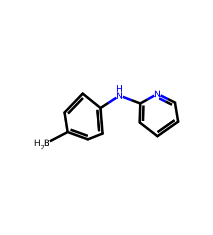 Bc1ccc(Nc2ccccn2)cc1